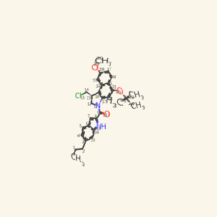 CCCc1ccc2cc(C(=O)N3C[C@@H](CCl)c4c3cc(OC(C)(C)C)c3ccc(OC)cc43)[nH]c2c1